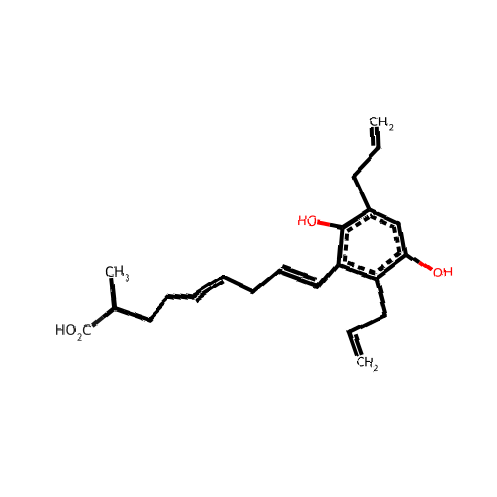 C=CCc1cc(O)c(CC=C)c(/C=C/C/C=C/CCC(C)C(=O)O)c1O